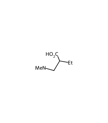 CCC(CNC)C(=O)O